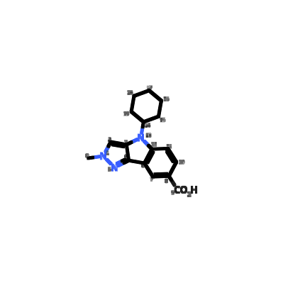 Cn1cc2c(n1)c1cc(C(=O)O)ccc1n2C1CCCCC1